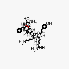 CC(C)C[C@H](NC(=O)[C@H](CC(C)C)NC(=O)[C@H](CCCCN)NC(=O)[C@H](CCCNC(=N)N)NC(=O)[C@@H](C)Cc1ccc(O)cc1)C(=O)N[C@@H](Cc1ccccc1)C(=O)N[C@@H](CO)C(N)=O